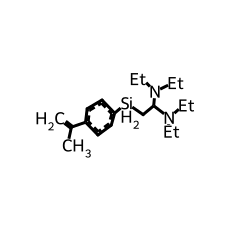 C=C(C)c1ccc([SiH2]CC(N(CC)CC)N(CC)CC)cc1